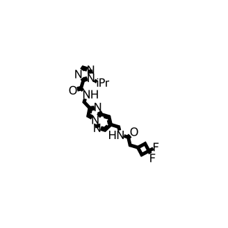 CC(C)n1ncnc1C(=O)NCc1cn2ncc(CNC(=O)CC3CC(F)(F)C3)cc2n1